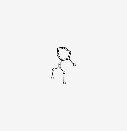 CCO[SiH](OCC)c1ccccc1CC